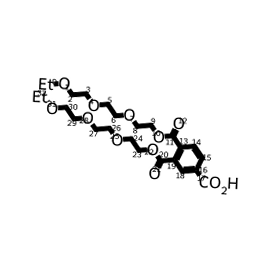 CCOCCOCCOCCOC(=O)c1ccc(C(=O)O)cc1C(=O)OCCOCCOCCOCC